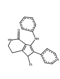 CCC1C2=C(C(=O)NCC2)C(Nc2ccccc2)=C1c1ccncc1